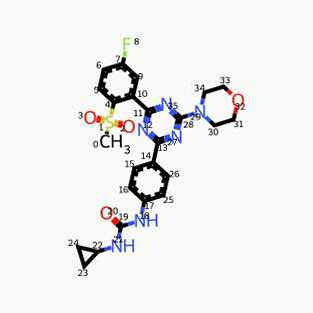 CS(=O)(=O)c1ccc(F)cc1-c1nc(-c2ccc(NC(=O)NC3CC3)cc2)nc(N2CCOCC2)n1